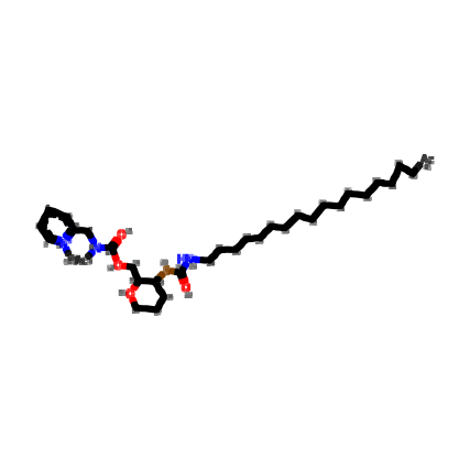 CC[n+]1ccccc1CN(C(C)=O)C(=O)OCC1OCCCC1SC(=O)NCCCCCCCCCCCCCCCCCC(C)=O